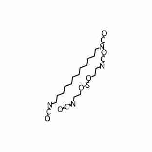 O=C=NCCCCCCCCCCCCN=C=O.O=C=NCCOSOCCN=C=O